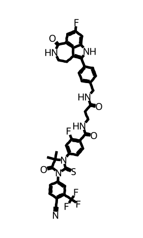 CC1(C)C(=O)N(c2ccc(C#N)c(C(F)(F)F)c2)C(=S)N1c1ccc(C(=O)NCCC(=O)NCc2ccc(-c3[nH]c4cc(F)cc5c4c3CCNC5=O)cc2)c(F)c1